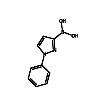 OB(O)c1ccn(-c2ccccc2)n1